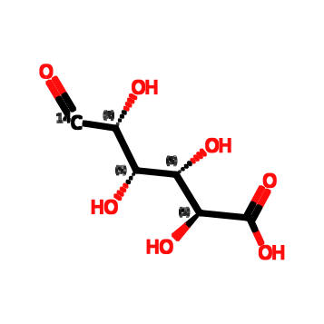 O=[14CH][C@H](O)[C@@H](O)[C@H](O)[C@H](O)C(=O)O